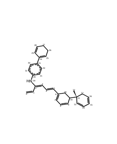 C=C/C(=C\C=C\C1=CC=CC([C@@]2(C)C=CC=CC2)C1)Nc1ccc(C2=CCCC=C2)cc1